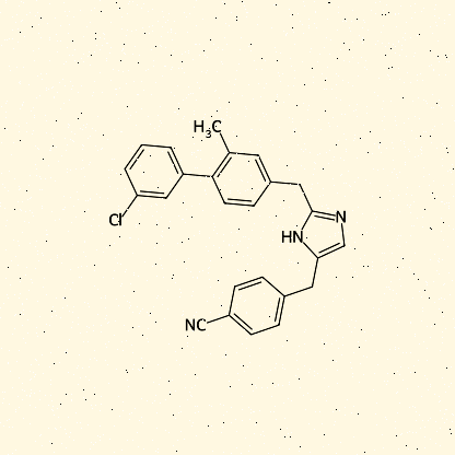 Cc1cc(Cc2ncc(Cc3ccc(C#N)cc3)[nH]2)ccc1-c1cccc(Cl)c1